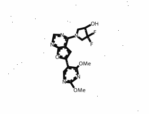 COc1ncc(-c2cc3c(N4CC(O)C(F)(F)C4)ncnc3o2)c(OC)n1